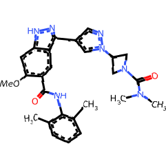 COc1cc2[nH]nc(-c3cnn(C4CN(C(=O)N(C)C)C4)c3)c2cc1C(=O)Nc1c(C)cccc1C